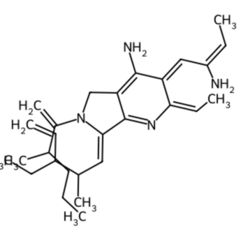 C=CC(CC)C(C)/C=C1/c2nc(=C/C)/c(=C\C(N)=C/C)c(N)c2CN1C(=C)C(C)CCC